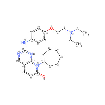 CCN(CC)CCOc1ccc(Nc2ncc3ccc(=O)n(C4CCCCCC4)c3n2)cc1